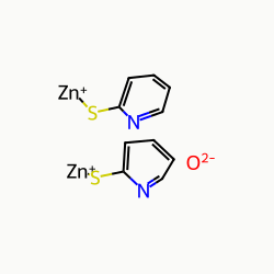 [O-2].[Zn+][S]c1ccccn1.[Zn+][S]c1ccccn1